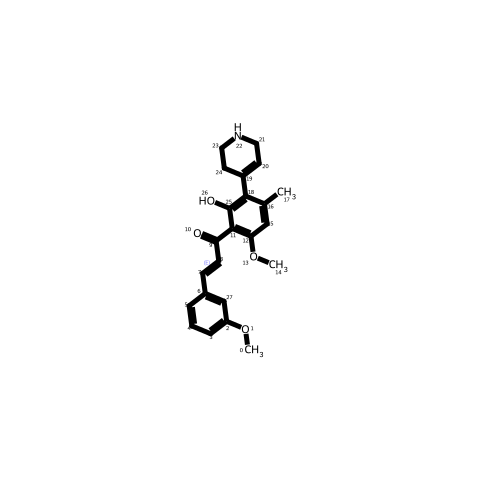 COc1cccc(/C=C/C(=O)c2c(OC)cc(C)c(C3=CCNCC3)c2O)c1